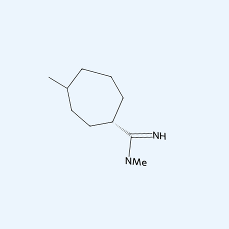 CNC(=N)[C@H]1CCCC(C)CC1